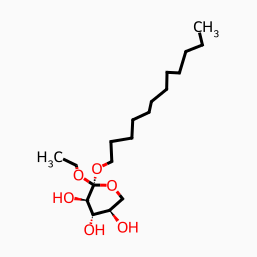 CCCCCCCCCCCCO[C@]1(OCC)OC[C@@H](O)[C@H](O)[C@H]1O